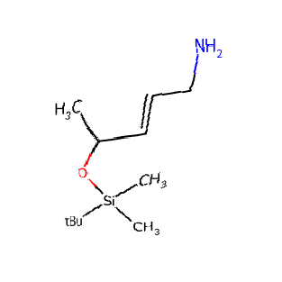 CC(C=CCN)O[Si](C)(C)C(C)(C)C